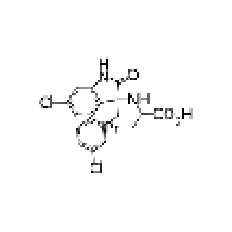 CC(C)CC(NC1(Cc2cccc(Cl)c2)C(=O)Nc2cc(Cl)ccc21)C(=O)O